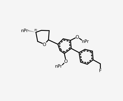 CCCOc1cc(C2CC[C@@H](CCC)CO2)cc(OCCC)c1-c1ccc(CF)cc1